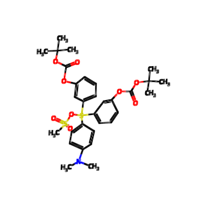 CN(C)c1ccc(S(OS(C)(=O)=O)(c2cccc(OC(=O)OC(C)(C)C)c2)c2cccc(OC(=O)OC(C)(C)C)c2)cc1